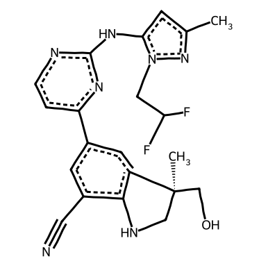 Cc1cc(Nc2nccc(-c3cc(C#N)c4c(c3)[C@@](C)(CO)CN4)n2)n(CC(F)F)n1